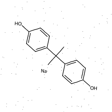 CC(C)(c1ccc(O)cc1)c1ccc(O)cc1.[Na]